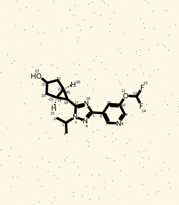 CC(C)n1nc(-c2cncc(OC(F)F)c2)nc1C1[C@H]2CC(O)C[C@@H]12